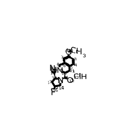 COc1ccc2c(c1)CN[C@H](C(=O)N1C[C@@H](F)C[C@H]1C#N)C2.Cl